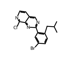 CC(C)Cc1ccc(Br)cc1-c1ncc2ccnc(Cl)c2n1